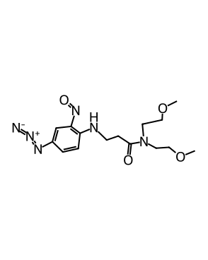 COCCN(CCOC)C(=O)CCNc1ccc(N=[N+]=[N-])cc1N=O